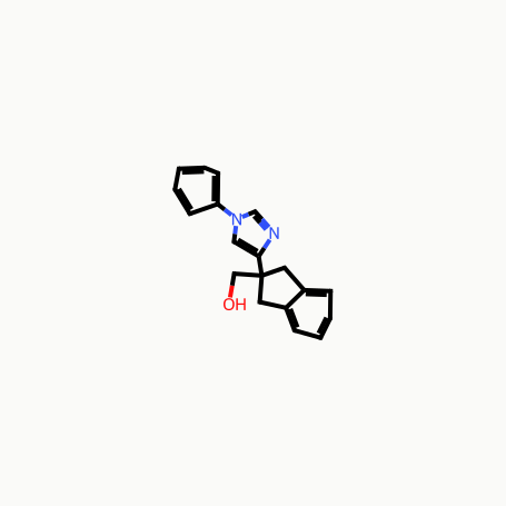 OCC1(c2cn(-c3ccccc3)cn2)Cc2ccccc2C1